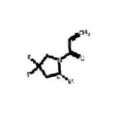 C=CC(=O)N1CC(F)(F)C[C@@H]1CC